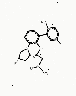 Cc1ccc(I)cc1-c1cccc(N2CC[C@H](F)C2)c1NC(=O)CN(C)C